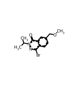 COCc1ccc2c(Br)nn(C(C)C)c(=O)c2c1